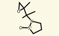 CC1(C(C)(C)N2CCC[S+]2[O-])CO1